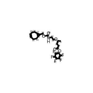 CC(CCC(=O)Oc1c(F)c(F)c(F)c(F)c1F)OCCNC(=O)OCC1C2CCC#CCCC21